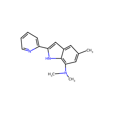 Cc1cc(N(C)C)c2[nH]c(-c3ccccn3)cc2c1